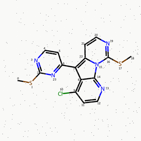 CSc1nccc(-c2c3c(Cl)ccnc3n3c(SC)nccc23)n1